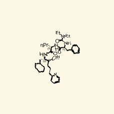 CCC[C@H](NC(=O)[C@H](Cc1ccccc1)NC(=O)N(CC)CC)C(=O)N[C@@H](CC1CCCCC1)[C@@H](O)CCCc1ccccn1